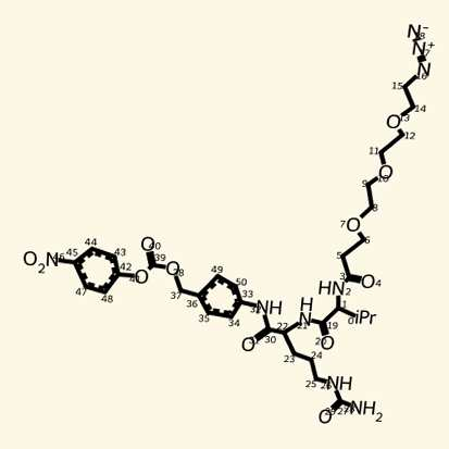 CC(C)C(NC(=O)CCOCCOCCOCCN=[N+]=[N-])C(=O)NC(CCCNC(N)=O)C(=O)Nc1ccc(COC(=O)Oc2ccc([N+](=O)[O-])cc2)cc1